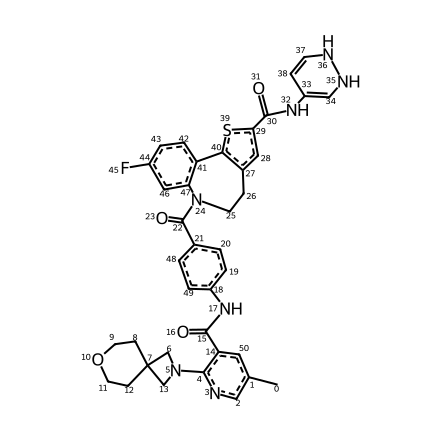 Cc1cnc(N2CC3(CCOCC3)C2)c(C(=O)Nc2ccc(C(=O)N3CCc4cc(C(=O)NC5=CNNC=C5)sc4-c4ccc(F)cc43)cc2)c1